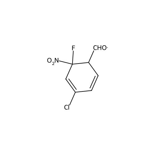 O=[C]C1C=CC(Cl)=CC1(F)[N+](=O)[O-]